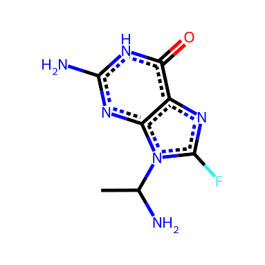 CC(N)n1c(F)nc2c(=O)[nH]c(N)nc21